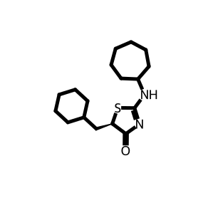 O=C1N=C(NC2CCCCCC2)S[C@@H]1CC1CCCCC1